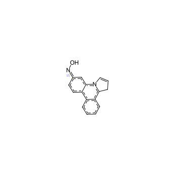 O/N=c1/ccc2c3ccccc3c3n(c-2c1)C=CC3